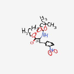 CCOC(=O)[C@H](Cc1cccc([N+](=O)[O-])c1)NC(=O)OC(C)(C)C